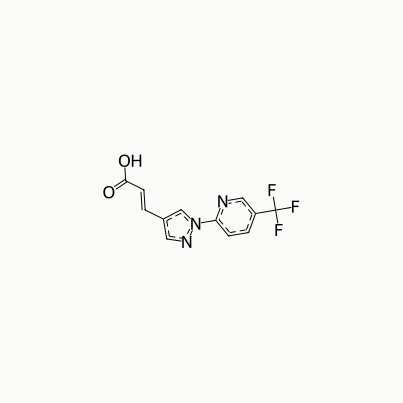 O=C(O)C=Cc1cnn(-c2ccc(C(F)(F)F)cn2)c1